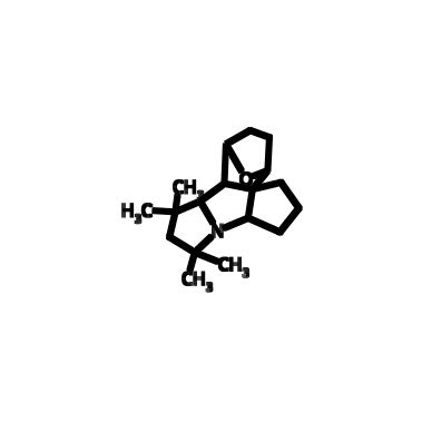 CC1(C)CC(C)(C)N2C1C1C3CCC(O3)C13CCCC23